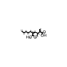 C=C(C(=O)O)C(C)C=C(CCCCC)C(=O)O